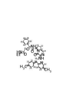 CCNC(=O)COC(NC(=O)[C@@H]1CCc2cnc(NC[C@@H](c3ccc(C)cc3)c3ccc(C)cn3)c(=O)n21)c1ccccc1